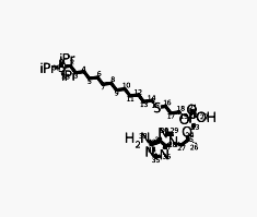 CC(C)S(CCCCCCCCCCCCCSCCCOP(=O)(O)CO[C@H](C)Cn1cnc2c(N)ncnc21)(C(C)C)C(C)C